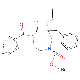 C=CC[C@]1(Cc2ccccc2)CN(C(=O)OC(C)(C)C)CCN(C(=O)c2ccccc2)C1=O